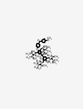 COc1ccc(C(=O)c2ccc(Oc3c(C[N+](C)=C(N(C)C)N(C)C)cc(C(C)(C)c4cc(C[N+](C)=C(N(C)C)N(C)C)c(C)c(C[N+](C)=C(N(C)C)N(C)C)c4)cc3C[N+](C)=C(N(C)C)N(C)C)cc2)cc1